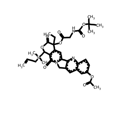 C=CC[Si](C)(C)C1OC(=O)C(CC)(OC(=O)CNC(=O)OC(C)(C)C)c2cc3n(c(=O)c21)Cc1cc2cc(OC(C)=O)ccc2nc1-3